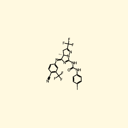 C[C@]12CC(C(F)(F)F)=NN1C(NC(=O)Nc1ccc(I)cc1)=NC2=Nc1ccc(C#N)c(C(F)(F)F)c1